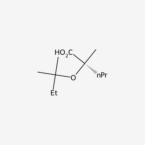 CCC[C@](C)(OC(C)(C)CC)C(=O)O